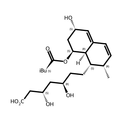 CC[C@H](C)C(=O)O[C@H]1C[C@H](O)C=C2C=C[C@H](C)[C@H](CC[C@@H](O)C[C@H](O)CC(=O)O)[C@H]21